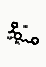 C[C@H]1[C@H](C)N(C(=O)c2ccco2)CCN1CCCc1ccccc1.Cl